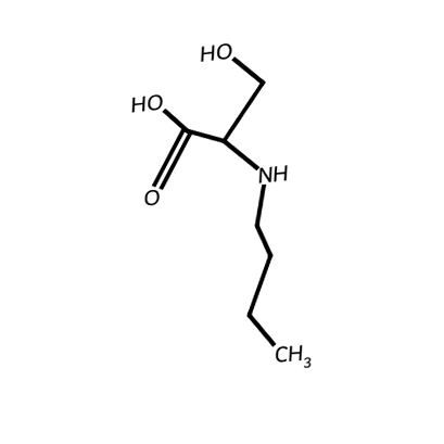 CCCCNC(CO)C(=O)O